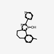 Cc1ccc2c(c1)-c1c(nc(-c3cccnc3)n1O)CCC2